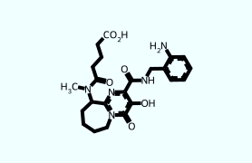 CN(C(=O)CCCC(=O)O)C1CCCCn2c1nc(C(=O)NCc1ccccc1N)c(O)c2=O